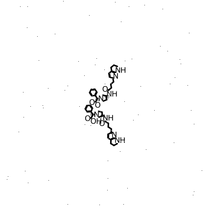 O=C(CCCc1ccc2c(n1)NCCC2)N[C@@H]1CCN([C@H](C(=O)Oc2cccc([C@H](C(=O)O)N3CC[C@@H](NC(=O)CCCc4ccc5c(n4)NCCC5)C3)c2)c2ccccc2)C1